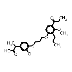 CCCc1c(OCCCSc2ccc(C(C)C(=O)O)cc2Cl)ccc(C(=O)CC)c1OC